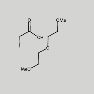 CCC(=O)O.COCCOCCOC